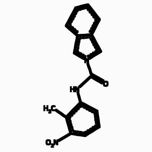 Cc1c(NC(=O)n2cc3ccccc3c2)cccc1[N+](=O)[O-]